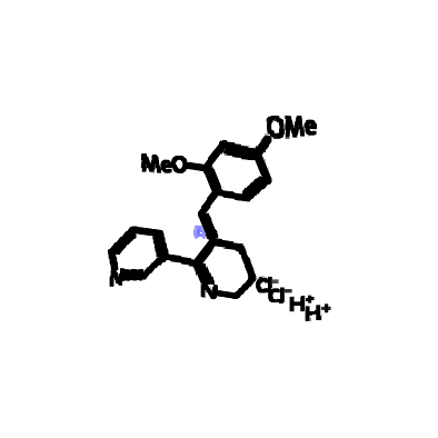 COc1ccc(/C=C2\CCCN=C2c2cccnc2)c(OC)c1.[Cl-].[Cl-].[H+].[H+]